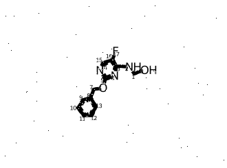 OCNc1nc(OCc2ccccc2)ncc1F